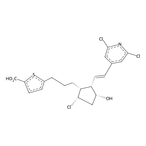 O=C(O)c1ccc(CCC[C@@H]2[C@H](C=Cc3cc(Cl)nc(Cl)c3)[C@H](O)C[C@@H]2Cl)s1